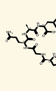 CC(C)C[C@H](NC(=O)[C@H](C)NC(=O)[C@H](CCC(N)=O)NC(=O)CNC(=O)[C@@H]1C[C@@H](O)CN1)C(=O)O